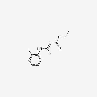 CCOC(=O)/C=C(\C)Nc1ccccc1C